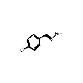 NN=Cc1ccc(Cl)cc1